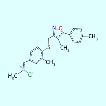 C/C(Cl)=C/c1ccc(SCc2noc(-c3ccc(C)cc3)c2C)c(C)c1